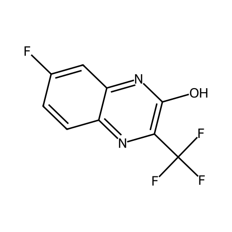 Oc1nc2cc(F)ccc2nc1C(F)(F)F